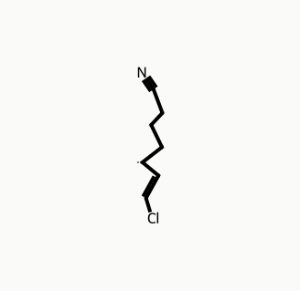 N#CCCC[CH]C=CCl